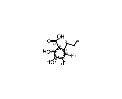 CCCc1c(F)c(F)c(O)c(O)c1C(=O)O